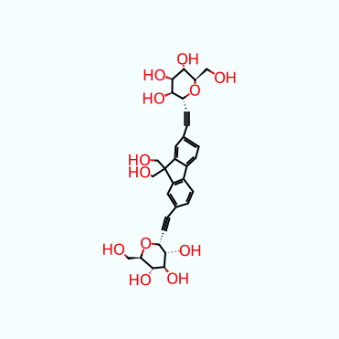 OC[C@H]1O[C@H](C#Cc2ccc3c(c2)C(CO)(CO)c2cc(C#C[C@H]4O[C@H](CO)[C@@H](O)[C@H](O)[C@@H]4O)ccc2-3)[C@H](O)[C@@H](O)[C@@H]1O